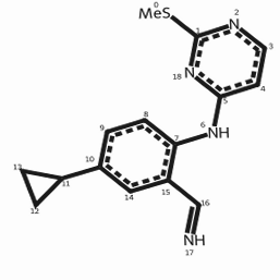 CSc1nccc(Nc2ccc(C3CC3)cc2C=N)n1